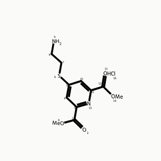 COC(=O)c1cc(SCCN)cc(C(=O)OC)n1.Cl